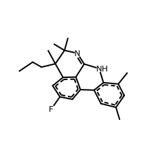 CCCC1(C)c2cc(F)cc3c2C(=NC1(C)C)Nc1c(C)cc(C)cc1-3